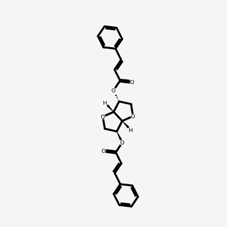 O=C(/C=C/c1ccccc1)O[C@H]1CO[C@H]2[C@@H]1OC[C@H]2OC(=O)/C=C/c1ccccc1